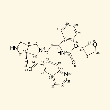 O=C(NC(CCN1CC2CNC[C@H]2[C@H]1C(=O)c1ccc2ncccc2c1)c1ccccc1)OC1CCOC1